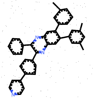 Cc1cccc(-c2cc3nc(-c4ccccc4)c(-c4ccc(-c5ccncc5)cc4)nc3cc2-c2cc(C)cc(C)c2)c1